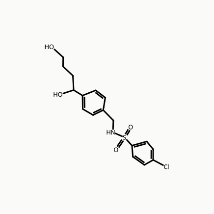 O=S(=O)(NCc1ccc(C(O)CCCO)cc1)c1ccc(Cl)cc1